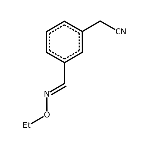 CCON=Cc1cccc(CC#N)c1